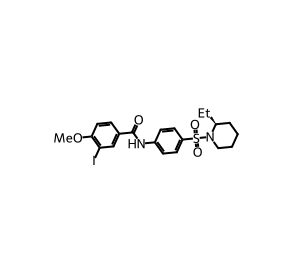 CC[C@H]1CCCCN1S(=O)(=O)c1ccc(NC(=O)c2ccc(OC)c(I)c2)cc1